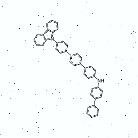 c1ccc(-c2ccc(Nc3ccc(-c4ccc(-c5ccc(-n6c7ccccc7c7ccccc76)cc5)cc4)cc3)cc2)cc1